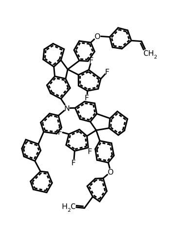 C=Cc1ccc(Oc2ccc(C3(c4cc(F)cc(F)c4F)c4ccccc4-c4ccc(N(c5ccc(-c6cccc(-c7ccccc7)c6)cc5)c5ccc6c(c5)C(c5ccc(Oc7ccc(C=C)cc7)cc5)(c5cc(F)cc(F)c5F)c5ccccc5-6)cc43)cc2)cc1